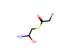 NC(O)CSC(=O)CBr